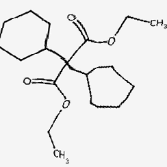 CCOC(=O)C(C(=O)OCC)(C1CCCCC1)C1CCCC1